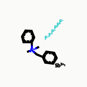 C[N+](C)(Cc1ccccc1)c1ccccc1.[F-].[F-].[F-].[F-].[F-].[F-].[Sb+3]